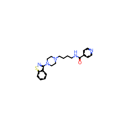 O=C(NCCCCN1CCN(c2nsc3ccccc23)CC1)c1ccncc1